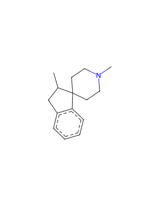 CC1Cc2ccccc2C12CCN(C)CC2